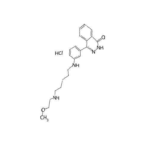 COCCNCCCCCNc1cccc(-c2n[nH]c(=O)c3ccccc23)c1.Cl